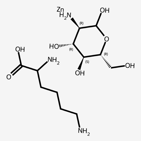 NCCCCC(N)C(=O)O.N[C@H]1C(O)O[C@H](CO)[C@@H](O)[C@@H]1O.[Zn]